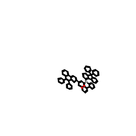 c1ccc(-c2ccccc2N(c2cccc(-c3ccc4c(c3)c(-c3ccccc3)c(-c3ccccc3)c3ccccc34)c2)c2cccc3c2-c2ccccc2C3(c2ccccc2)c2ccccc2)cc1